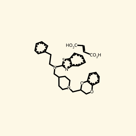 O=C(O)C=CC(=O)O.c1ccc(CCN(CC2CCN(CC3COc4ccccc4O3)CC2)c2nc3ccccc3s2)cc1